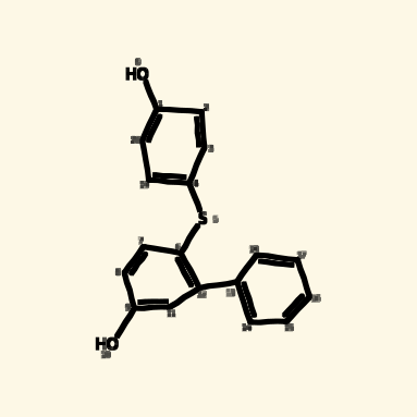 Oc1ccc(Sc2ccc(O)cc2-c2ccccc2)cc1